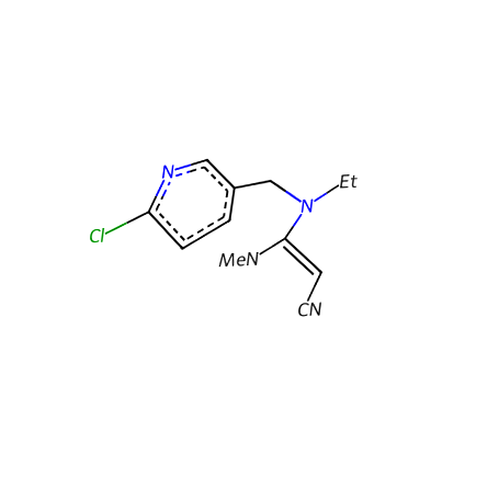 CCN(Cc1ccc(Cl)nc1)/C(=C/C#N)NC